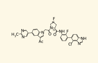 CC(=O)c1cn(CC(=O)N2C[C@H](F)C[C@H]2C(=O)Nc2cccc(-c3ccc4[nH]cnc4c3Cl)c2F)c2ccc(-c3cnc(C)nc3)cc12